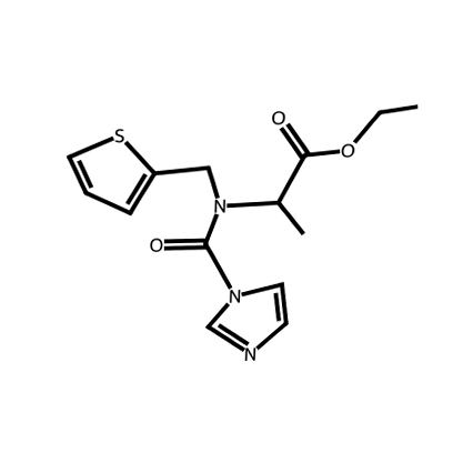 CCOC(=O)C(C)N(Cc1cccs1)C(=O)n1ccnc1